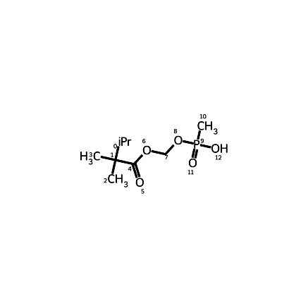 CC(C)C(C)(C)C(=O)OCOP(C)(=O)O